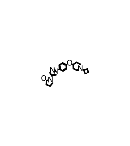 O=C1CCCN1c1cnn(-c2ccc(OC3CCN(C4CCC4)CC3)cc2)c1